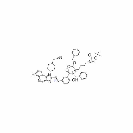 CC(C)(C)OC(=O)NCCCC[C@H](C(=O)OCc1ccccc1)N(Cc1ccccc1)C(=O)c1cc(/N=N/c2nc3cnc4[nH]ccc4c3n2C2CCC(CC#N)CC2)ccc1O